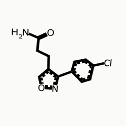 NC(=O)CCc1conc1-c1ccc(Cl)cc1